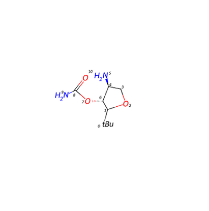 CC(C)(C)C1OC[C@H](N)[C@H]1OC(N)=O